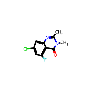 Cc1nc2cc(Cl)cc(F)c2c(=O)n1C